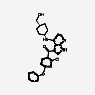 O=C(c1ccc(Oc2ccccc2)cc1Cl)c1c[nH]c2nccc(N[C@H]3CC[C@@H](CO)CC3)c12